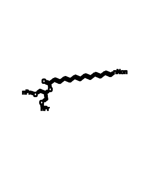 CCCCCCCCCC=CC=CC=CC=CC=CC=CC(=O)OC(COCCC)COCCC